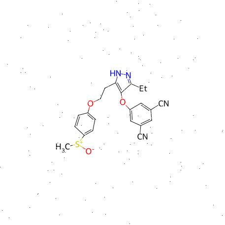 CCc1n[nH]c(CCOc2ccc([S+](C)[O-])cc2)c1Oc1cc(C#N)cc(C#N)c1